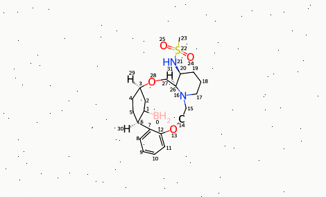 BC1C[C@H]2CC[C@@H]1c1ccccc1OCCN1CCC[C@H](NS(C)(=O)=O)[C@@H]1CO2